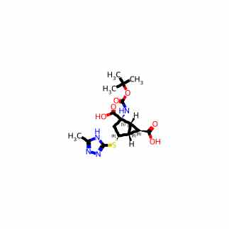 Cc1nnc(S[C@@H]2C[C@@](NC(=O)OC(C)(C)C)(C(=O)O)[C@@H]3[C@@H](C(=O)O)[C@@H]32)[nH]1